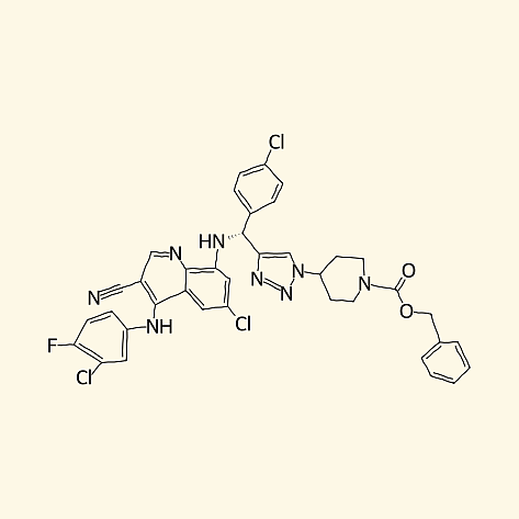 N#Cc1cnc2c(N[C@H](c3ccc(Cl)cc3)c3cn(C4CCN(C(=O)OCc5ccccc5)CC4)nn3)cc(Cl)cc2c1Nc1ccc(F)c(Cl)c1